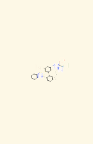 CCCCc1nc(Cl)c(C=O)n1Cc1cc(Br)c(SCc2ccccc2)c(-c2ccccc2C#N)c1